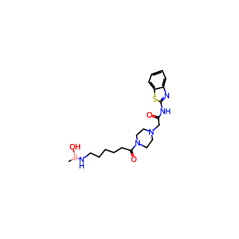 CB(O)NCCCCCC(=O)N1CCN(CC(=O)Nc2nc3ccccc3s2)CC1